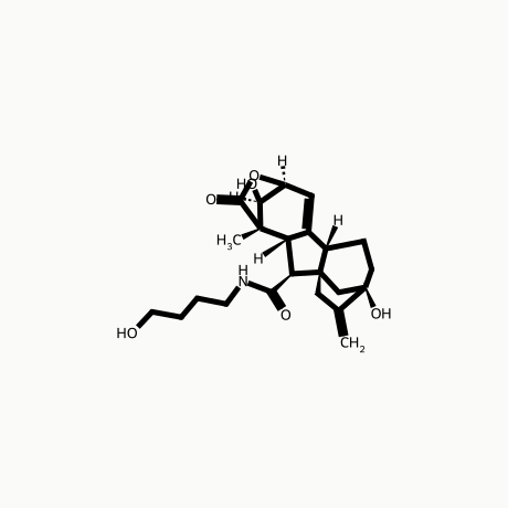 C=C1C[C@]23C[C@]1(O)CC[C@H]2C1=C[C@@H]2OC(=O)[C@@](C)([C@H]1[C@@H]3C(=O)NCCCCO)[C@H]2O